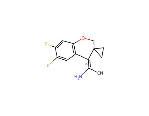 N#C/C(N)=C1/c2cc(F)c(F)cc2OCC12CC2